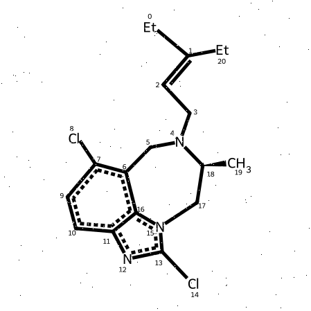 CCC(=CCN1Cc2c(Cl)ccc3nc(Cl)n(c23)C[C@@H]1C)CC